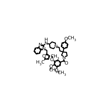 COc1ccc(C2(CCN3CCC(Nc4nc5ccccc5n4Cc4ccc(C)o4)CC3)CCN(C(=O)c3cc(OC)c(OC)c(OC)c3)C2)cc1